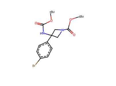 CC(C)(C)OC(=O)NC1(c2ccc(Br)cc2)CN(C(=O)OC(C)(C)C)C1